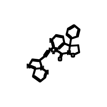 NC(=O)N1OCCC1(c1ccccc1)c1ccnc(C#Cc2cnc3cccnn23)c1